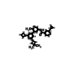 Cc1ncc(NC(=O)c2ccnc(C3CC3)c2)cc1-c1cc(N2CCC2)nc(N2CC(C)(C)C2)c1